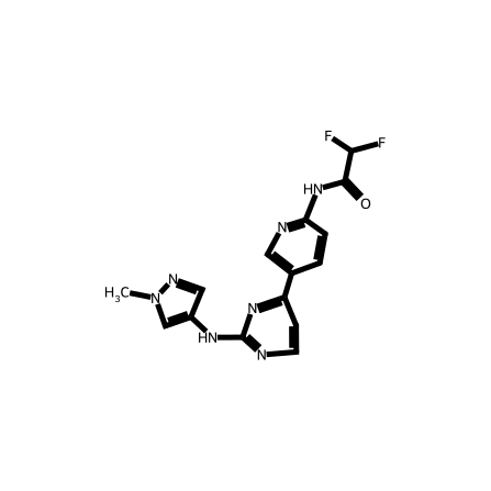 Cn1cc(Nc2nccc(-c3ccc(NC(=O)C(F)F)nc3)n2)cn1